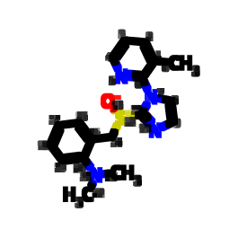 Cc1cccnc1-n1ccnc1[S+]([O-])Cc1ccccc1N(C)C